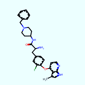 Cc1c[nH]c2nccc(Oc3ccc(CC(N)C(=O)NC4CCN(Cc5ccccc5)CC4)cc3F)c12